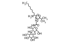 CCCCCCCCC(N)C(=O)NC(CCC(=O)N[C@@H]1OC(CO)[C@@H](O[C@@H]2OC(CO)[C@H](O)[C@H](O)C2O)[C@H](O)C1O)C(=O)C(C)C